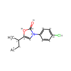 CC(=O)CC(C)c1cn(-c2ccc(Cl)cc2)c(=O)o1